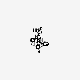 C#C[C@H]1CC[C@H](Cn2c(C(O)C3CCOCC3)nc3nc(-c4n[nH]c(=O)o4)nc(-c4cccc(Cl)c4)c32)CC1